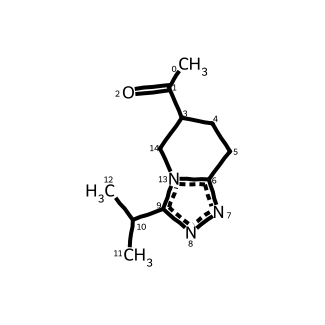 CC(=O)C1CCc2nnc(C(C)C)n2C1